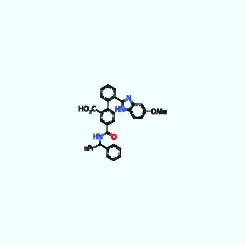 CCCC(NC(=O)c1ccc(-c2ccccc2-c2nc3cc(OC)ccc3[nH]2)c(C(=O)O)c1)c1ccccc1